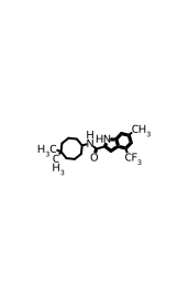 Cc1cc(C(F)(F)F)c2cc(C(=O)NC3CCCC(C)(C)CCC3)[nH]c2c1